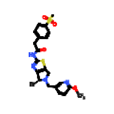 CC[C@@H]1c2nc(NC(=O)Cc3ccc(S(C)(=O)=O)cc3)sc2CN1Cc1ccc(OC(F)(F)F)nc1